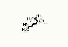 CC(=N)CCC[C@@H](C)C(C)C